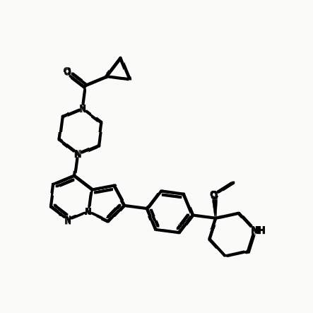 CO[C@]1(c2ccc(-c3cc4c(N5CCN(C(=O)C6CC6)CC5)ccnn4c3)cc2)CCCNC1